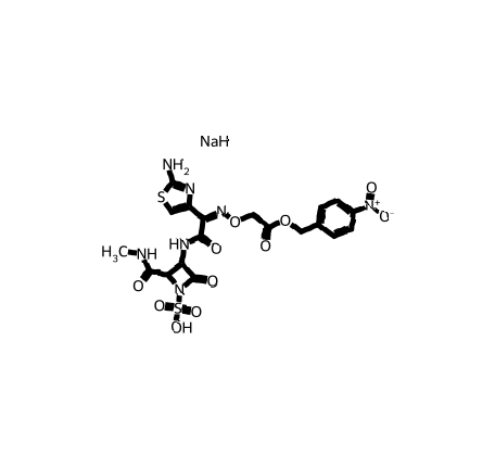 CNC(=O)C1C(NC(=O)/C(=N\OCC(=O)OCc2ccc([N+](=O)[O-])cc2)c2csc(N)n2)C(=O)N1S(=O)(=O)O.[NaH]